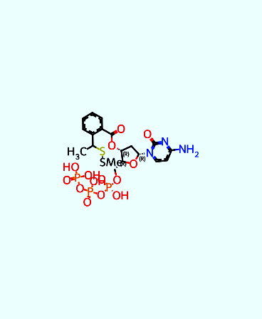 CSSC(C)c1ccccc1C(=O)O[C@@H]1C[C@H](n2ccc(N)nc2=O)O[C@@H]1COP(=O)(O)OP(=O)(O)OP(=O)(O)O